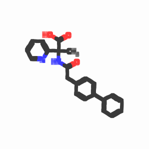 CC(NC(=O)Cc1ccc(-c2ccccc2)cc1)(C(=O)O)c1ccccn1